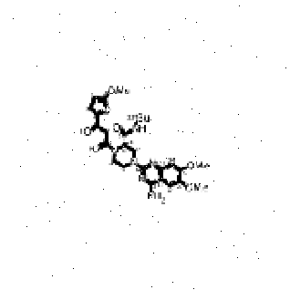 COc1ccc(C(=O)CC(=O)N2CCN(c3nc(N)c4cc(OC)c(OC)cc4n3)C[C@H]2C(=O)NC(C)(C)C)o1